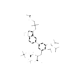 CC(=O)OCC(C)(C)Cc1c[nH]c2ccc(-c3cc(CC(NC(=O)OC(C)(C)C)C(=O)O)cc(O[Si](C(C)C)(C(C)C)C(C)C)c3)cc12